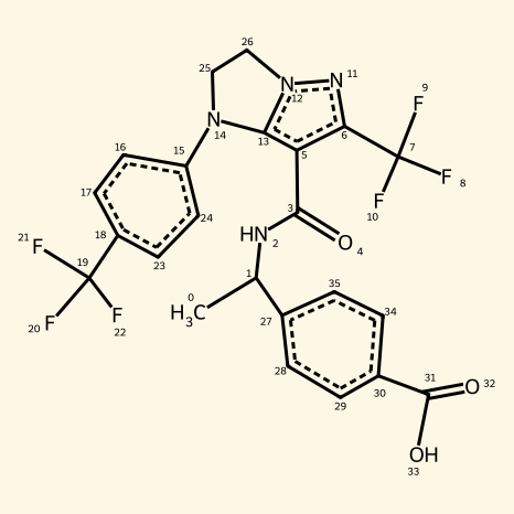 CC(NC(=O)c1c(C(F)(F)F)nn2c1N(c1ccc(C(F)(F)F)cc1)CC2)c1ccc(C(=O)O)cc1